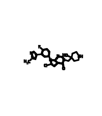 Cn1cc(-c2cc(-n3c(Cl)cc4c(=O)n(CC5(O)CCNCC5)cnc43)ccc2F)cn1